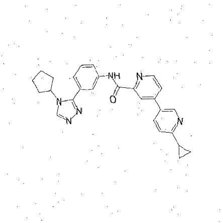 O=C(Nc1cccc(-c2nncn2C2CCCC2)c1)c1cc(-c2ccc(C3CC3)nc2)ccn1